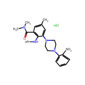 CCCNc1c(C(=O)N(C)C)cc(C)cc1N1CCN(c2ccccc2[N+](=O)[O-])CC1.Cl